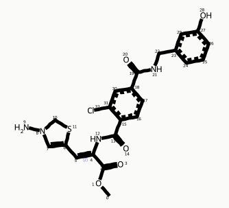 COC(=O)/C(=C/C1=CN(N)CS1)NC(=O)c1ccc(C(=O)NCc2cccc(O)c2)cc1Cl